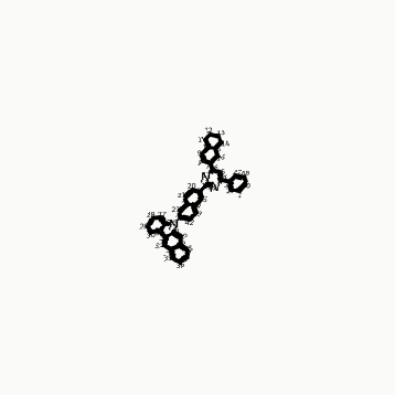 c1ccc(-c2cc(-c3ccc4ccccc4c3)nc(-c3ccc4cc(-n5c6ccccc6c6cc7ccccc7cc65)ccc4c3)n2)cc1